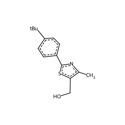 Cc1nc(-c2ccc(C(C)(C)C)cc2)sc1CO